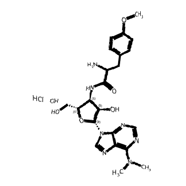 COc1ccc(CC(N)C(=O)N[C@H]2[C@@H](O)[C@H](n3cnc4c(N(C)C)ncnc43)O[C@@H]2CO)cc1.Cl.Cl